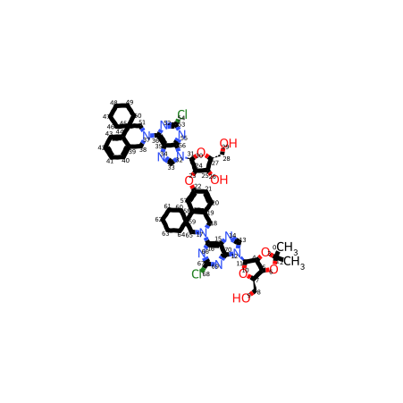 CC1(C)OC2C(O1)[C@@H](CO)O[C@H]2n1cnc2c(N3Cc4ccc(OC5C(O)[C@@H](CO)O[C@H]5n5cnc6c(N7Cc8ccccc8C8(CCCCC8)C7)nc(Cl)nc65)cc4C4(CCCCC4)C3)nc(Cl)nc21